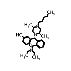 CCCCCN1C[C@@H](C)N([C@@H](c2cccc(O)c2)c2ccccc2C(=O)N(CC)CC)C[C@H]1C